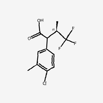 Cc1cc(C(C(=O)O)[C@@H](C)C(F)(F)F)ccc1Cl